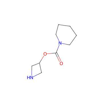 O=C(OC1CNC1)N1CCCCC1